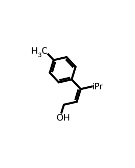 Cc1ccc(/C(=C\CO)C(C)C)cc1